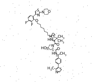 Cc1ncsc1-c1ccc([C@H](C)NC(=O)[C@@H]2C[C@@H](O)CN2C(=O)[C@@H](NC(=O)CCCCCCCOc2c(-c3csc(N4CCOCC4)n3)ccc(F)c2F)C(C)(C)C)cc1